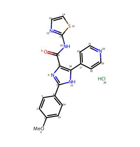 COc1ccc(-c2nc(C(=O)Nc3nccs3)c(-c3ccncc3)[nH]2)cc1.Cl